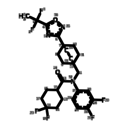 CC(F)(F)c1nc(C23CCC(CN(C(=O)C4CCC(F)(F)CC4)c4ccc(F)c(F)c4)(CC2)CC3)no1